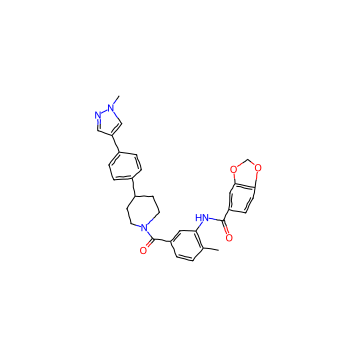 Cc1ccc(C(=O)N2CCC(c3ccc(-c4cnn(C)c4)cc3)CC2)cc1NC(=O)c1ccc2c(c1)OCO2